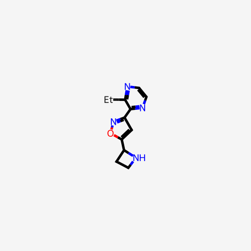 CCc1nccnc1-c1cc(C2CCN2)on1